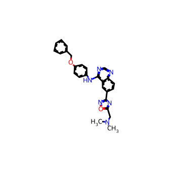 CN(C)Cc1nc(-c2ccc3ncnc(Nc4ccc(OCc5ccccc5)cc4)c3c2)no1